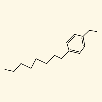 CCCCCCCCc1ccc(CC)cc1